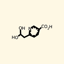 O=C(O)c1ccc(CC(O)O)nc1